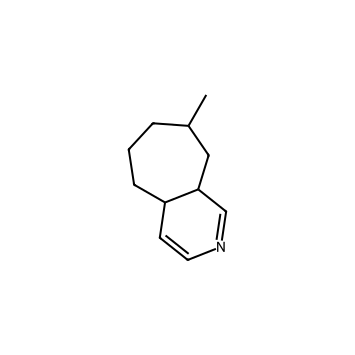 CC1CCCC2C=CN=CC2C1